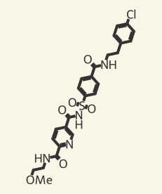 COCCNC(=O)c1ccc(C(=O)NS(=O)(=O)c2ccc(C(=O)NCCc3ccc(Cl)cc3)cc2)cn1